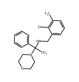 CC(NCc1cccc(C(F)(F)F)c1Cl)(c1ccccc1)N1CCOCC1